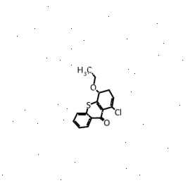 CCOC1CC=C(Cl)c2c1sc1ccccc1c2=O